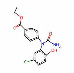 CCOC(=O)c1ccc(N(C(N)=O)c2cc(Cl)ccc2O)cc1